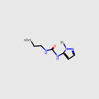 CCCCCCCCCCNC(=O)Nc1ccnn1CC